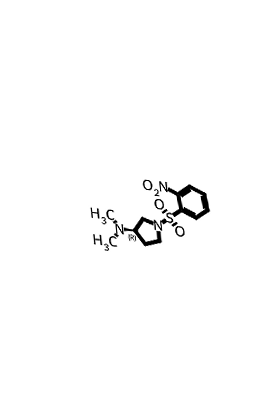 CN(C)[C@@H]1CCN(S(=O)(=O)c2ccccc2[N+](=O)[O-])C1